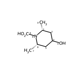 C[C@@H]1CC(O)C[C@H](C)N1C(=O)O